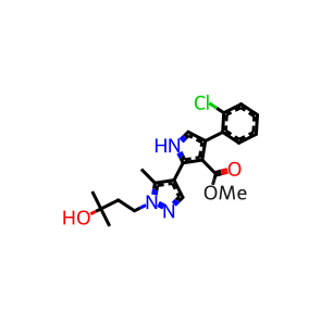 COC(=O)c1c(-c2ccccc2Cl)c[nH]c1-c1cnn(CCC(C)(C)O)c1C